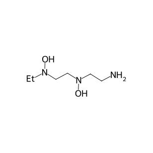 CCN(O)CCN(O)CCN